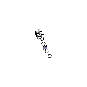 FC(F)C(F)(F)C(F)(F)C(F)(F)OCc1ccc(/N=N/c2ccc(-c3ccccc3)cc2)cc1